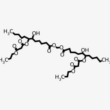 CCCCCC(OC(=O)CC(=O)OCCC)C(O)CCCCC(=O)OCOC(=O)CCCCC(O)C(CCCCC)OC(=O)CC(=O)OCCC